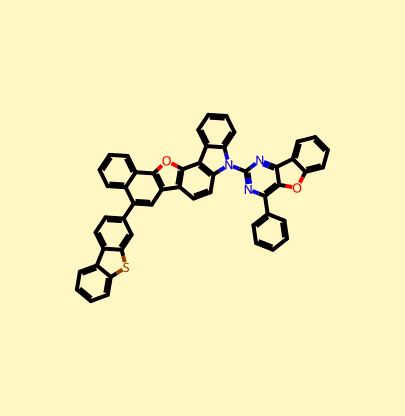 c1ccc(-c2nc(-n3c4ccccc4c4c5oc6c7ccccc7c(-c7ccc8c(c7)sc7ccccc78)cc6c5ccc43)nc3c2oc2ccccc23)cc1